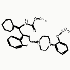 COC(=O)NC(C1CCCCC1)C(CCN1CCN(c2ccccc2OC)CC1)c1ccccc1F